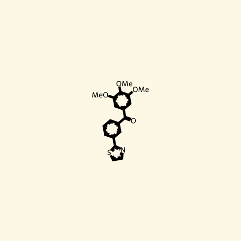 COc1cc(C(=O)c2cccc(-c3nccs3)c2)cc(OC)c1OC